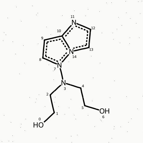 OCCN(CCO)n1ccc2nccn21